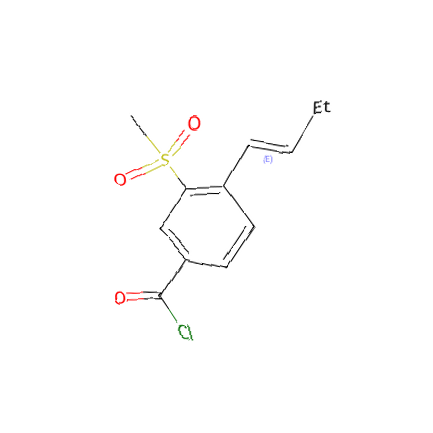 CC/C=C/c1ccc(C(=O)Cl)cc1S(C)(=O)=O